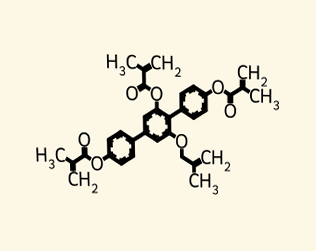 C=C(C)COc1cc(-c2ccc(OC(=O)C(=C)C)cc2)cc(OC(=O)C(=C)C)c1-c1ccc(OC(=O)C(=C)C)cc1